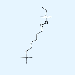 CCC(C)(C)OOCCCCCCC(C)(C)C